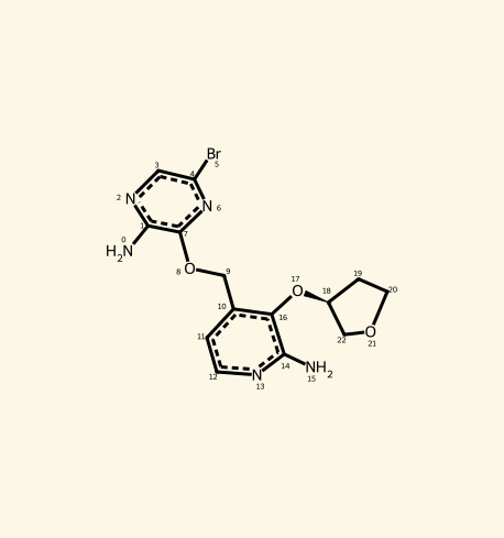 Nc1ncc(Br)nc1OCc1ccnc(N)c1O[C@H]1CCOC1